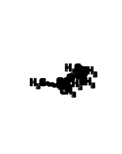 CCCCCCCCN1C(=O)C(Cc2ccc(-c3cc(OC)c(OC)c(OC)c3)cc2)N(C)C(=O)[C@@H]1C